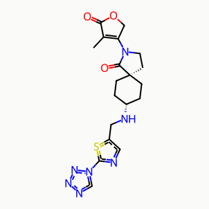 CC1=C(N2CC[C@]3(CC[C@@H](NCc4cnc(-n5cnnn5)s4)CC3)C2=O)COC1=O